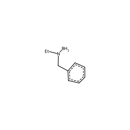 BN(CC)Cc1ccccc1